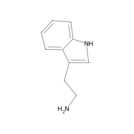 NCCc1[c][nH]c2ccccc12